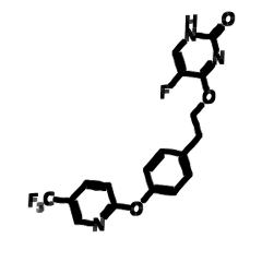 O=c1nc(OCCc2ccc(Oc3ccc(C(F)(F)F)cn3)cc2)c(F)c[nH]1